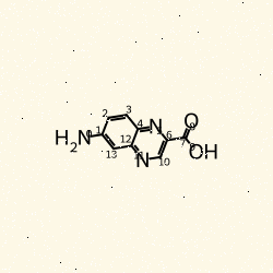 Nc1ccc2nc(C(=O)O)cnc2c1